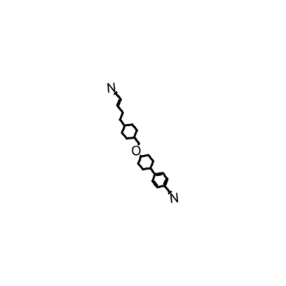 N#CC=CCCC1CCC(COC2CCC(c3ccc(C#N)cc3)CC2)CC1